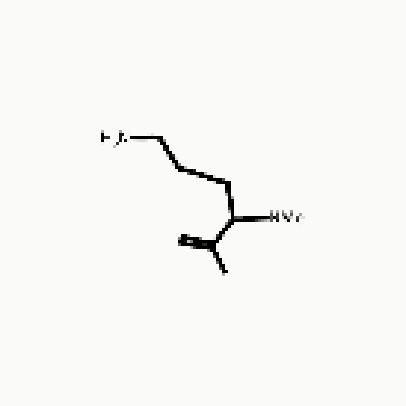 C=C(C)C(CCCN)NC